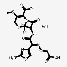 CSC1=C(C(=O)O)N2C(=O)C(NC(=O)C(=NOCC(=O)O)c3csc(N)n3)[C@@H]2SC1.Cl